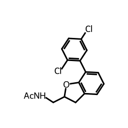 CC(=O)NCC1Cc2cccc(-c3cc(Cl)ccc3Cl)c2O1